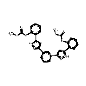 COC(=O)Oc1ccccc1-c1cc(-c2cccc(-c3cc(-c4ccccc4OC(=O)OC)[nH]n3)c2)n[nH]1